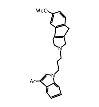 COc1ccc2c(c1)C1=C(C2)CN(CCCn2cc(C(C)=O)c3ccccc32)CC1